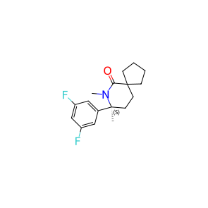 CN1C(=O)C2(CCCC2)CC[C@@]1(C)c1cc(F)cc(F)c1